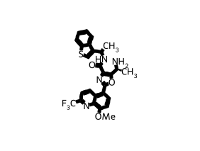 COc1ccc(-c2nc(C(=O)NC(C)c3csc4ccccc34)c([C@H](C)N)o2)c2ccc(C(F)(F)F)nc12